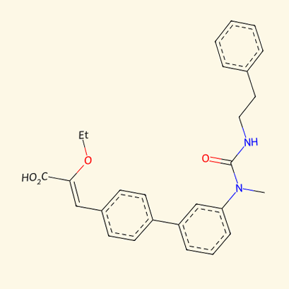 CCOC(=Cc1ccc(-c2cccc(N(C)C(=O)NCCc3ccccc3)c2)cc1)C(=O)O